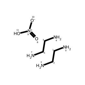 NCCN.NCCN.O=[N+]([O-])O